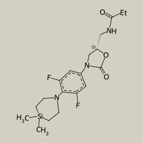 CCC(=O)NC[C@H]1CN(c2cc(F)c(N3CC[Si](C)(C)CC3)c(F)c2)C(=O)O1